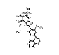 COc1cc(-c2cccc3ccccc23)ccc1-c1nc2c(cc(S(=O)(=O)O)c3cccc(O)c32)[nH]1.Cl